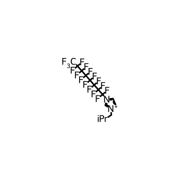 CC(C)C[n+]1ccn(C(F)(F)C(F)(F)C(F)(F)C(F)(F)C(F)(F)C(F)(F)C(F)(F)C(F)(F)F)c1